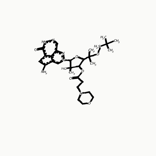 CC(C)(C)[SiH2]OC(C)(C)C1OC(n2cc3c(N)cc4c(=O)[nH]ncc(n2)c34)C(C)(O)C1OC(=O)CCN1CCOCC1